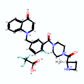 C[C@]1(C(=O)N2CCN(C(=O)c3cc(Cn4ccc(=O)c5ccccc54)ccc3F)CC2)CCN1.O=C(O)C(F)(F)F